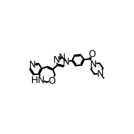 CN1CCN(C(=O)c2ccc(-n3cc(/C4=C/c5cnccc5NCOC4)nn3)cc2)CC1